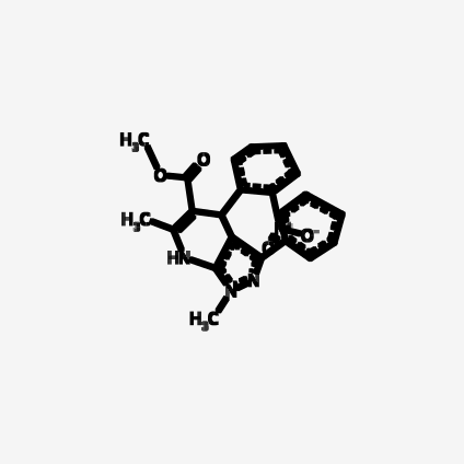 COC(=O)C1=C(C)Nc2c(c(-c3ccccc3)nn2C)C1c1ccccc1[N+](=O)[O-]